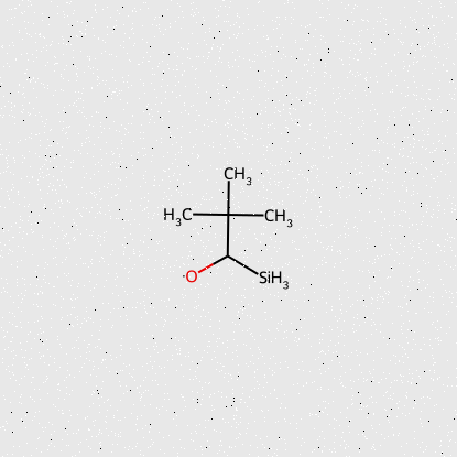 CC(C)(C)C([O])[SiH3]